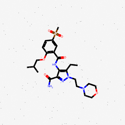 CCc1c(NC(=O)c2cc(S(C)(=O)=O)ccc2OCC(C)C)c(C(N)=O)nn1CCN1CCOCC1